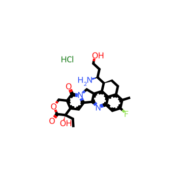 CC[C@@]1(O)C(=O)OCc2c1cc1n(c2=O)Cc2c-1nc1cc(F)c(C)c3c1c2[C@@H]([C@@H](N)CCO)CC3.Cl